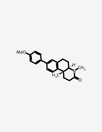 COc1ccc(-c2ccc3c(c2)CC[C@H]2N(C)C(=O)CC[C@]32C)cc1